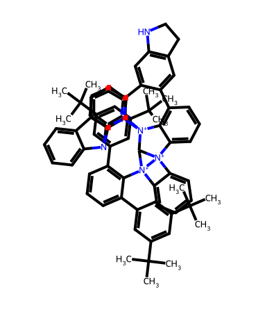 CC(C)(C)c1cc(-c2cccc(-c3cc(C(C)(C)C)cc(C(C)(C)C)c3)c2[N+]23c4ccccc4[N+]24c2cccc5c2[N+]2(c6c(ccc7c8ccccc8n(c67)-c6cccc[n+]62)-c2cc6c(cc2-5)CCN6)C43)cc(C(C)(C)C)c1